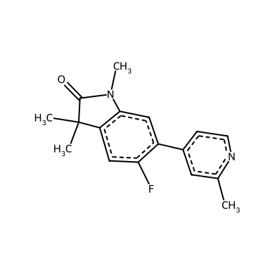 Cc1cc(-c2cc3c(cc2F)C(C)(C)C(=O)N3C)ccn1